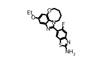 CCOc1cc2c3c(c1)nc(-c1cc4sc(N)nc4cc1F)n3CCCCO2